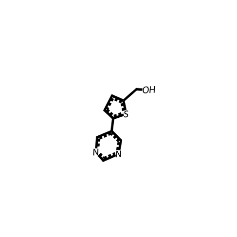 OCc1ccc(-c2cncnc2)s1